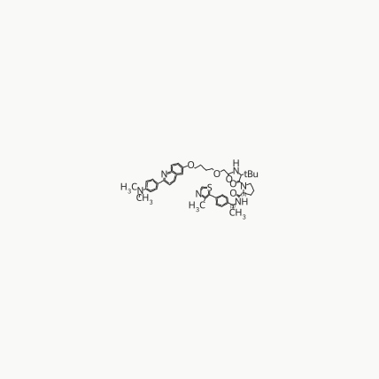 Cc1ncsc1-c1ccc([C@H](C)NC(=O)[C@@H]2CCCN2C(=O)C(NC(=O)COCCCCOc2ccc3nc(-c4ccc(N(C)C)cc4)ccc3c2)C(C)(C)C)cc1